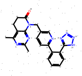 Cc1nc(C)c2c(n1)N(Cc1ccc(-c3ccccc3-c3nnn[nH]3)nc1)C(=O)CC2